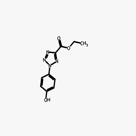 CCOC(=O)c1nnn(-c2ccc(O)cc2)n1